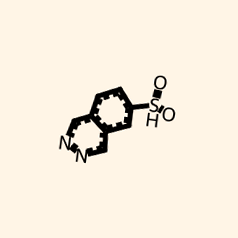 O=[SH](=O)c1ccc2cnncc2c1